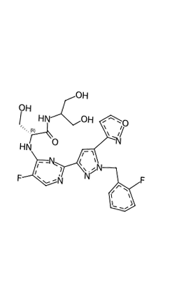 O=C(NC(CO)CO)[C@@H](CO)Nc1nc(-c2cc(-c3ccon3)n(Cc3ccccc3F)n2)ncc1F